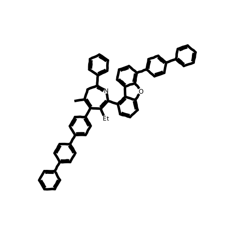 CCC1=C(c2cccc3oc4c(-c5ccc(-c6ccccc6)cc5)cccc4c23)N=C(c2ccccc2)CC(C)=C1c1ccc(-c2ccc(-c3ccccc3)cc2)cc1